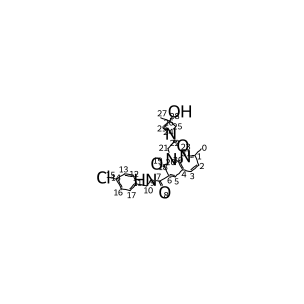 Cc1ccc2cc(C(=O)NCc3ccc(Cl)cc3)c(=O)n(CC(=O)N3CC(C)(O)C3)c2n1